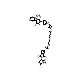 Cn1c2ccncc2c2c(F)c(F)c(-c3ccc(OC4CC(OCCCOCCCOC5CN(c6ccc7c(c6)C(=O)N(C6CCC(=O)NC6=O)C7=O)C5)C4)nc3)cc21